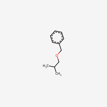 C[C](C)COCc1ccccc1